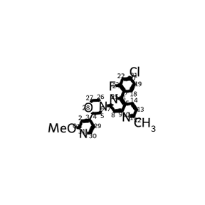 COc1cc([C@@H]2CN(c3cc4nc(C)ccc4c(-c4ccc(Cl)cc4F)n3)CCO2)ccn1